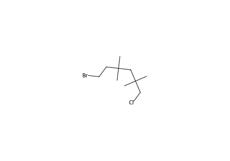 CC(C)(CCl)CC(C)(C)CCBr